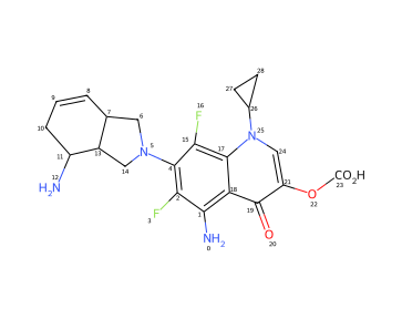 Nc1c(F)c(N2CC3C=CCC(N)C3C2)c(F)c2c1c(=O)c(OC(=O)O)cn2C1CC1